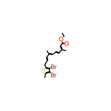 CCOC(=O)C=C(C)C=CC=C(C)C=CCc1sc(C)c(Br)c1Br